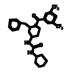 O=C(NC1CCCCC1)NC1CCN(C(=O)c2cc(C(F)(F)F)cc(C(F)(F)F)c2)C(Cc2ccccc2)C1